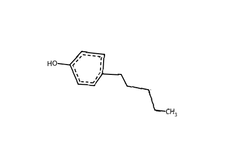 CC[CH]CCc1ccc(O)cc1